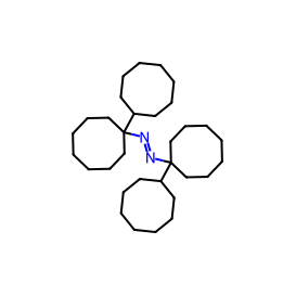 C1CCCC(C2(N=NC3(C4CCCCCCC4)CCCCCCC3)CCCCCCC2)CCC1